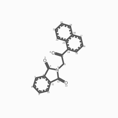 O=C(CN1C(=O)c2ccccc2C1=O)c1cccc2ccccc12